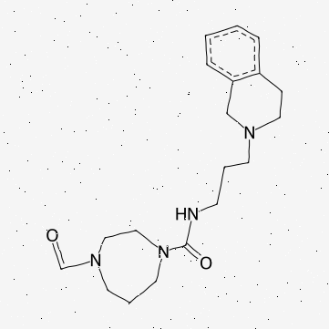 O=CN1CCCN(C(=O)NCCCN2CCc3ccccc3C2)CC1